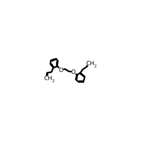 C=CCc1ccccc1OCCOc1ccccc1CC=C